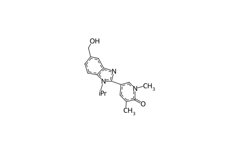 Cc1cc(-c2nc3cc(CO)ccc3n2C(C)C)cn(C)c1=O